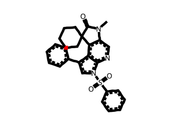 CN1C(=O)C2(CCCCC2)c2c1cnc1c2c(-c2ccccc2)cn1S(=O)(=O)c1ccccc1